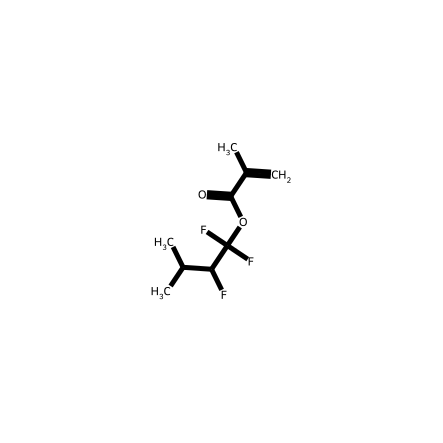 C=C(C)C(=O)OC(F)(F)C(F)C(C)C